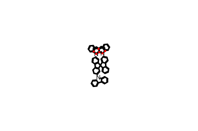 C1=C(n2c3ccccc3c3ccccc32)CCC2=C1C1(c3cc(-n4c5ccccc5c5ccccc54)ccc32)c2ccccc2-c2ccc(-n3c4ccccc4c4ccccc43)cc21